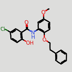 COc1ccc(OCCc2ccccc2)c(NC(=O)c2cc(Cl)ccc2O)c1